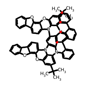 CC(C)(C)c1cc2c3c(c1)N(c1ccccc1-c1ccccc1)c1cc4c(cc1B3c1ccc3c(oc5ccccc53)c1O2)B1c2ccc3c(oc5ccccc53)c2Oc2cc(C(C)(C)C)cc(c21)N4c1ccccc1-c1ccccc1